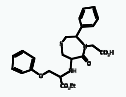 CCOC(=O)C(COc1ccccc1)NC1CSCC(c2ccccc2)N(CC(=O)O)C1=O